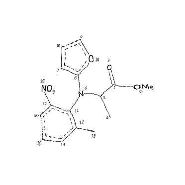 COC(=O)C(C)N(c1ccco1)c1c(C)cccc1[N+](=O)[O-]